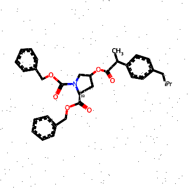 CC(C)Cc1ccc(C(C)C(=O)OC2C[C@@H](C(=O)OCc3ccccc3)N(C(=O)OCc3ccccc3)C2)cc1